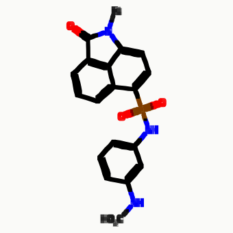 CCN1C(=O)c2cccc3c(S(=O)(=O)Nc4cccc(NC(=O)O)c4)ccc1c23